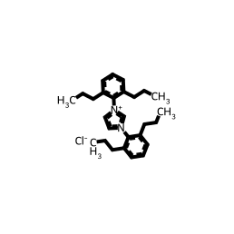 CCCc1cccc(CCC)c1-n1cc[n+](-c2c(CCC)cccc2CCC)c1.[Cl-]